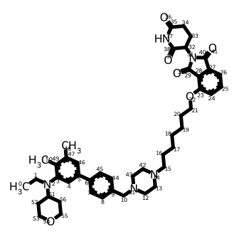 CCN(c1cc(-c2ccc(CN3CCN(CCCCCCCOc4cccc5c4C(=O)N(C4CCC(=O)NC4=O)C5=O)CC3)cc2)cc(C)c1C)C1CCOCC1